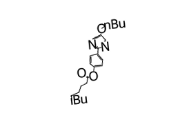 CCCCOc1cnc(-c2ccc(OC(=O)CCCCC(C)CC)cc2)nc1